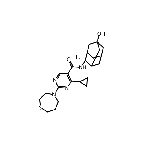 O=C(N[C@H]1C2CC3CC1C[C@@](O)(C3)C2)c1cnc(N2CCCSCC2)nc1C1CC1